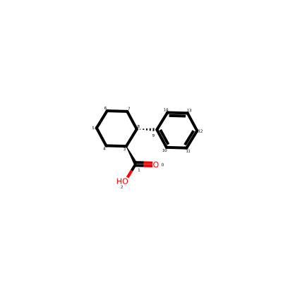 O=C(O)[C@H]1CCCC[C@@H]1c1ccccc1